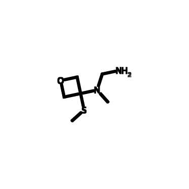 CSC1(N(C)CN)COC1